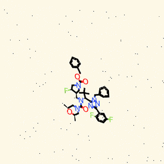 C[C@@H]1CN(C(=O)N(C[C@@H]2CN(C(=O)OCc3ccccc3)C[C@@H]2F)[C@@H](c2nc(-c3cc(F)ccc3F)nn2Cc2ccccc2)C(C)(C)C)C[C@H](C)O1